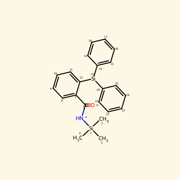 C[Si](C)(C)NC(=O)c1ccccc1[Si](c1ccccc1)c1ccccc1